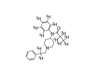 [2H]c1c([2H])c([2H])c(N(C(=O)C([2H])([2H])C([2H])([2H])[2H])C2CCN(CC([2H])([2H])c3ccccc3)CC2)c([2H])c1[2H]